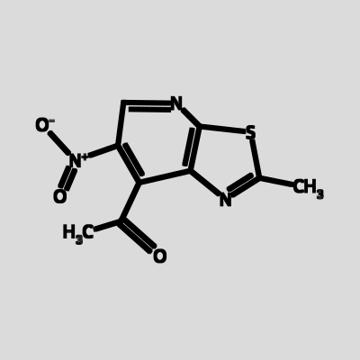 CC(=O)c1c([N+](=O)[O-])cnc2sc(C)nc12